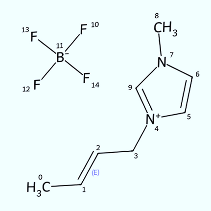 C/C=C/C[n+]1ccn(C)c1.F[B-](F)(F)F